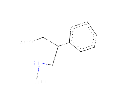 COCC(CNC=O)c1ccccc1